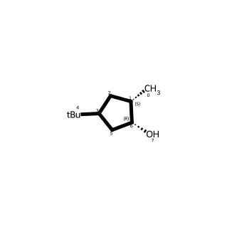 C[C@H]1CC(C(C)(C)C)C[C@H]1O